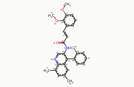 COc1cccc(/C=C/C(=O)Nc2cnc3c(C)cc(C)cc3c2-c2ccccc2Cl)c1OC